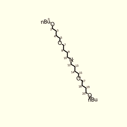 CCCCOCCCCOCCCC[N]CCCCOCCCCOCCCC